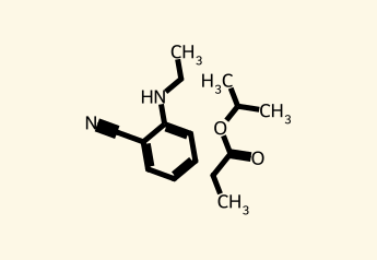 CCC(=O)OC(C)C.CCNc1ccccc1C#N